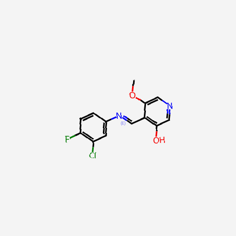 COc1cncc(O)c1/C=N/c1ccc(F)c(Cl)c1